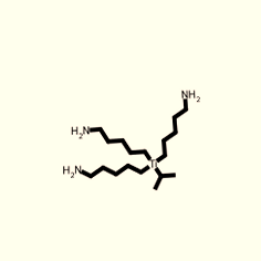 C[CH](C)[Ti]([CH2]CCCCN)([CH2]CCCCN)[CH2]CCCCN